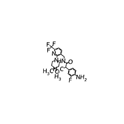 CC(C(=O)NCc1ccc(C(F)(F)F)nc1N1CCC(C)(C)CC1)c1ccc(N)c(F)c1